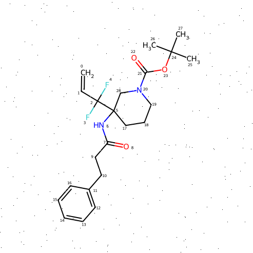 C=CC(F)(F)C1(NC(=O)CCc2ccccc2)CCCN(C(=O)OC(C)(C)C)C1